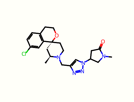 C[C@H]1C[C@@]2(CCN1Cc1cn(C3CC(=O)N(C)C3)nn1)OCCc1ccc(Cl)cc12